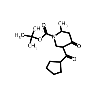 CC1CC(=O)C(C(=O)C2CCCC2)CN1C(=O)OC(C)(C)C